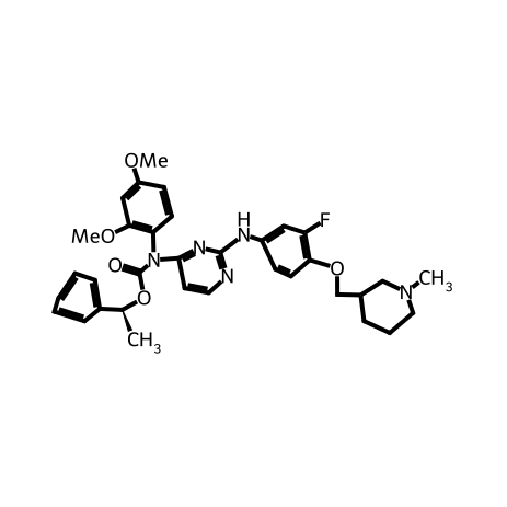 COc1ccc(N(C(=O)O[C@@H](C)c2ccccc2)c2ccnc(Nc3ccc(OCC4CCCN(C)C4)c(F)c3)n2)c(OC)c1